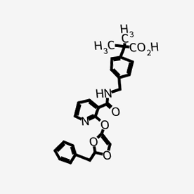 CC(C)(C(=O)O)c1ccc(CNC(=O)c2cccnc2OC2=COC(Cc3ccccc3)O2)cc1